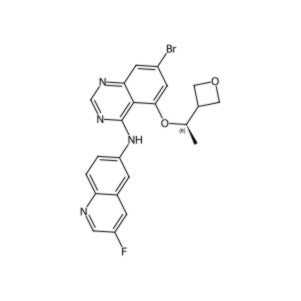 C[C@@H](Oc1cc(Br)cc2ncnc(Nc3ccc4ncc(F)cc4c3)c12)C1COC1